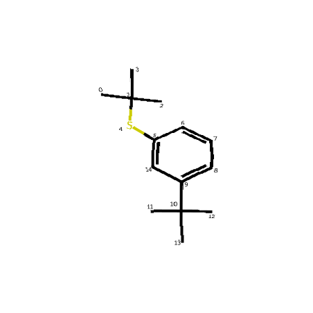 CC(C)(C)Sc1cccc(C(C)(C)C)c1